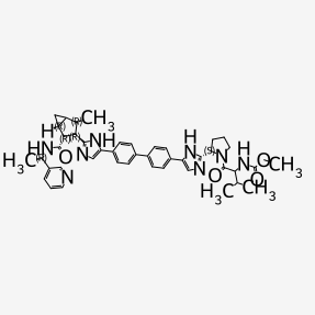 COC(=O)NC(C(=O)N1CCC[C@H]1c1ncc(-c2ccc(-c3ccc(-c4cnc([C@H]5[C@H](C(=O)N[C@H](C)c6cccnc6)[C@@H]6CC6[C@H]5C)[nH]4)cc3)cc2)[nH]1)C(C)C